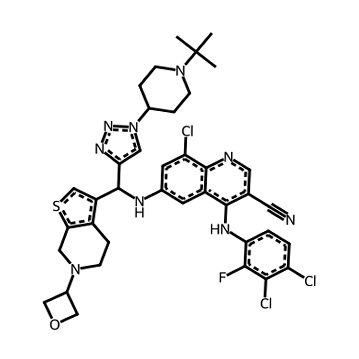 CC(C)(C)N1CCC(n2cc(C(Nc3cc(Cl)c4ncc(C#N)c(Nc5ccc(Cl)c(Cl)c5F)c4c3)c3csc4c3CCN(C3COC3)C4)nn2)CC1